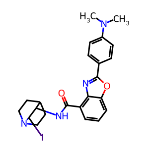 CN(C)c1ccc(-c2nc3c(C(=O)NC4C5CCN(CC5)C4I)cccc3o2)cc1